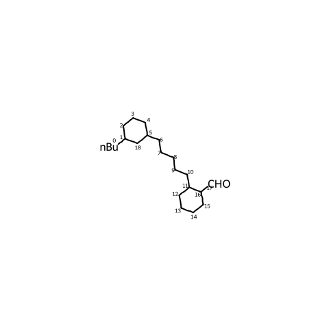 CCCCC1CCCC(CCCCCC2CCCCC2C=O)C1